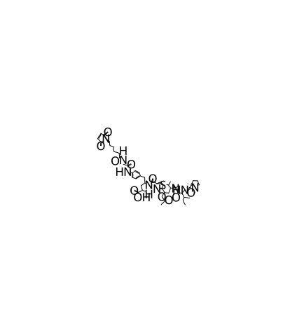 CCC(C)C(NC(=O)[C@@]1(C)CCCN1C)C(=O)N(C)C(CC(OC(C)=O)c1nc(C(=O)NC(Cc2ccc(NC(=O)CNC(=O)CCCCCN3C(=O)C=CC3=O)cc2)CC(C)C(=O)O)cs1)C(C)C